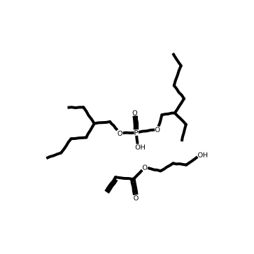 C=CC(=O)OCCCO.CCCCC(CC)COP(=O)(O)OCC(CC)CCCC